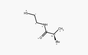 CCC(C)[C@H](C)C(=O)NCCS